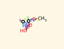 CSCCON=Cc1cc(C(=O)NOCCO)c(Nc2ccc(I)cc2F)c(F)c1F